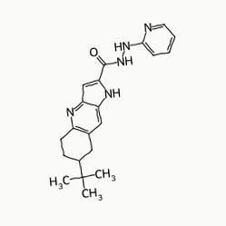 CC(C)(C)C1CCc2nc3cc(C(=O)NNc4ccccn4)[nH]c3cc2C1